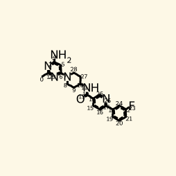 Cc1nc(N)cc(N2CCC(NC(=O)c3ccc(-c4cccc(F)c4)nc3)CC2)n1